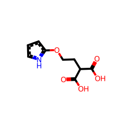 O=C(O)C(CCOc1ccc[nH]1)C(=O)O